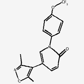 Cc1noc(C)c1-c1ccc(=O)n(-c2ccc(OC(F)(F)F)cc2)c1